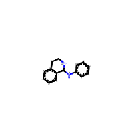 c1ccc(NC2NCCc3ccccc32)cc1